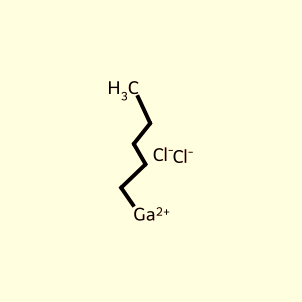 CCCC[CH2][Ga+2].[Cl-].[Cl-]